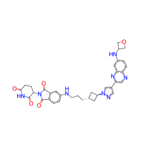 O=C1CCC(N2C(=O)c3ccc(NCCC[C@H]4C[C@H](n5cc(-c6cnc7ccc(NC8COC8)cc7n6)cn5)C4)cc3C2=O)C(=O)N1